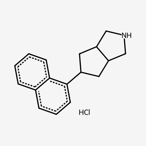 Cl.c1ccc2c(C3CC4CNCC4C3)cccc2c1